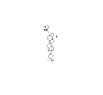 C=C(C)[C@@H]1CC[C@]2(NCC(=O)N3C4CC3(C)S(=O)(=O)C4)CC[C@]3(C)[C@H](CCC4[C@@]5(C)CC=C(C6=CC[C@](CF)(C(=O)O)CC6)C(C)(C)C5CC[C@]43C)C12